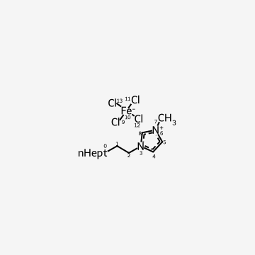 CCCCCCCCCn1cc[n+](C)c1.[Cl][Fe-]([Cl])([Cl])[Cl]